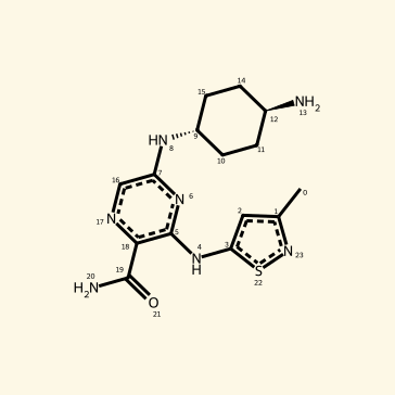 Cc1cc(Nc2nc(N[C@H]3CC[C@H](N)CC3)cnc2C(N)=O)sn1